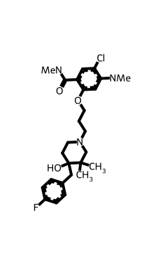 CNC(=O)c1cc(Cl)c(NC)cc1OCCCN1CCC(O)(Cc2ccc(F)cc2)C(C)(C)C1